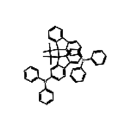 CC(C)(C)C1(C2(C(C)(C)C)c3ccccc3-c3ccc(N(c4ccccc4)c4ccccc4)cc32)c2ccccc2-c2ccc(N(c3ccccc3)c3ccccc3)cc21